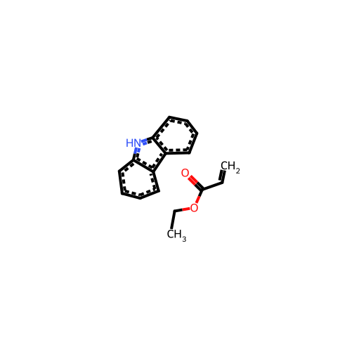 C=CC(=O)OCC.c1ccc2c(c1)[nH]c1ccccc12